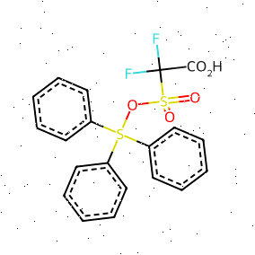 O=C(O)C(F)(F)S(=O)(=O)OS(c1ccccc1)(c1ccccc1)c1ccccc1